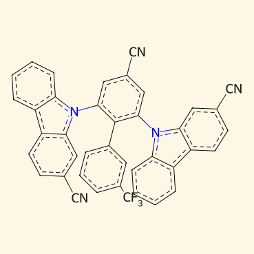 N#Cc1cc(-n2c3ccccc3c3ccc(C#N)cc32)c(-c2cccc(C(F)(F)F)c2)c(-n2c3ccccc3c3ccc(C#N)cc32)c1